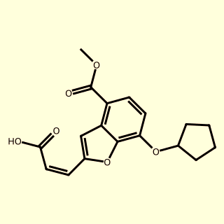 COC(=O)c1ccc(OC2CCCC2)c2oc(/C=C\C(=O)O)cc12